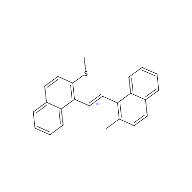 CSc1ccc2ccccc2c1/C=C/c1c(C)ccc2ccccc12